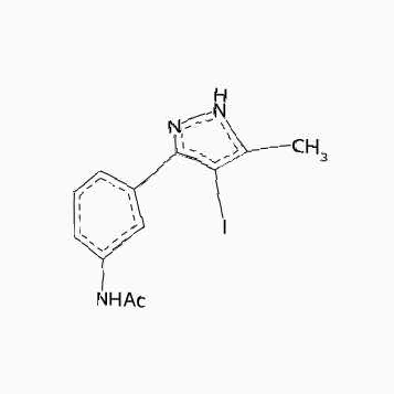 CC(=O)Nc1cccc(-c2n[nH]c(C)c2I)c1